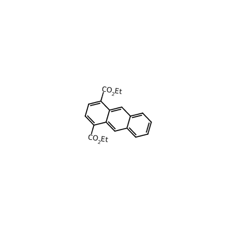 CCOC(=O)c1ccc(C(=O)OCC)c2cc3ccccc3cc12